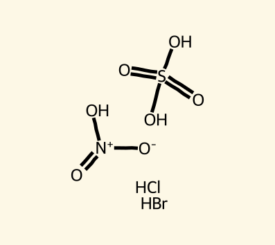 Br.Cl.O=S(=O)(O)O.O=[N+]([O-])O